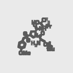 COc1ccc(CS(=O)(=O)[C@@H]2C[C@@H](C(=O)N[C@@H](C(C)C)[C@H](O)C(F)(F)F)N(C(=O)[C@@H](N)CO[Si](C)(C)C(C)(C)C)C2)cc1